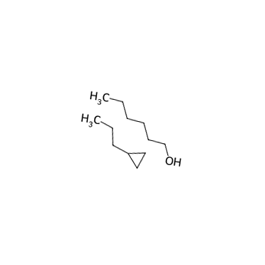 CCCC1CC1.CCCCCCO